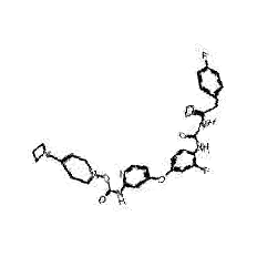 O=C(Cc1ccc(F)cc1)NC(=O)Nc1ccc(Oc2ccnc(NC(=O)ON3CCC(N4CCC4)CC3)c2)cc1F